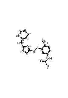 Cc1ccc(NC(=O)O)cc1CCc1cnc(Nc2cnccn2)s1